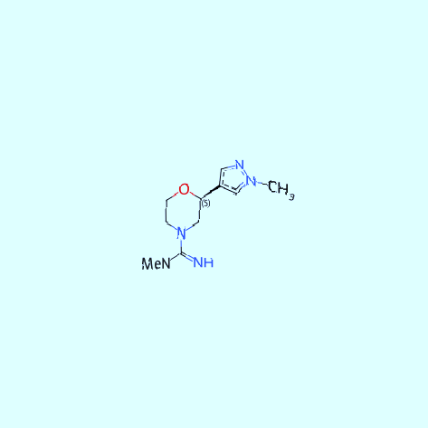 CNC(=N)N1CCO[C@@H](c2cnn(C)c2)C1